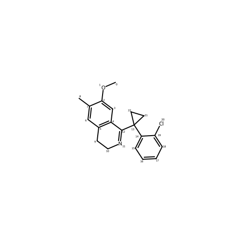 COc1cc2c(cc1C)CCN=C2C1(c2ccccc2Cl)CC1